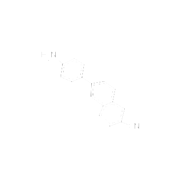 N#Cc1ccc2cc(-c3ccc(N)cc3)ccc2c1